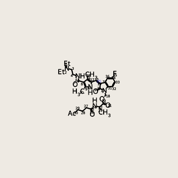 CCN(CC)CCNC(=O)c1c(C)[nH]c(/C=C2\C(=O)N(COC(=O)C(C)NC(=O)CCCC(C)=O)c3ccc(F)cc32)c1C